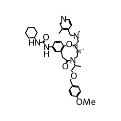 COc1ccc(COCC(C)N2C[C@@H](C)[C@H](CN(C)Cc3ccncc3C)Oc3ccc(NC(=O)NC4CCCCC4)cc3CC2=O)cc1